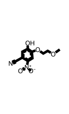 COCCOc1cc([N+](=O)[O-])c(C#N)cc1O